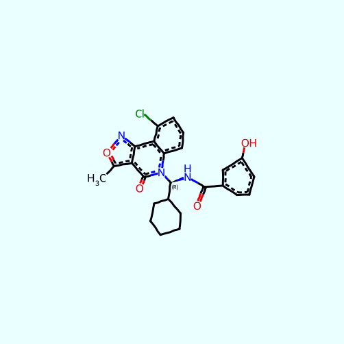 Cc1onc2c1c(=O)n([C@@H](NC(=O)c1cccc(O)c1)C1CCCCC1)c1cccc(Cl)c21